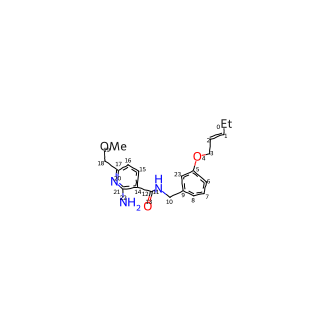 CCC=CCOc1cccc(CNC(=O)c2ccc(COC)nc2N)c1